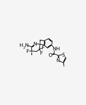 Cc1csc(C(=O)Nc2ccc3c(c2)[C@@]2(C3)N=C(N)[C@@](C)(F)CC2(F)F)n1